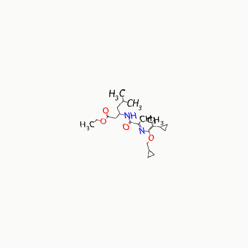 CCOC(=O)CC(CC(C)C)NC(=O)/C(C)=N/C(OCC1CC1)=C(\C)C1CC1